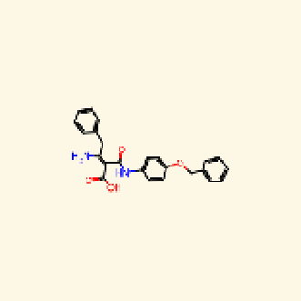 N/C(Cc1ccccc1)=C(\C(=O)O)C(=O)Nc1ccc(OCc2ccccc2)cc1